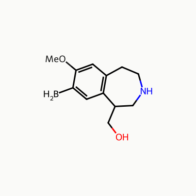 Bc1cc2c(cc1OC)CCNCC2CO